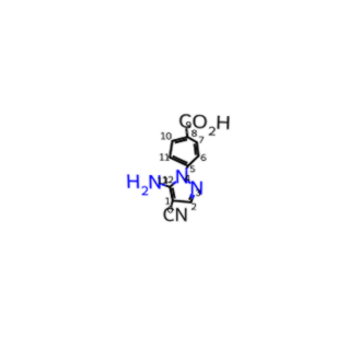 N#Cc1cnn(-c2ccc(C(=O)O)cc2)c1N